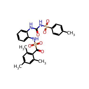 Cc1ccc(S(=O)(=O)NC(=O)Nc2ccccc2NS(=O)(=O)C(=O)c2c(C)cc(C)cc2C)cc1